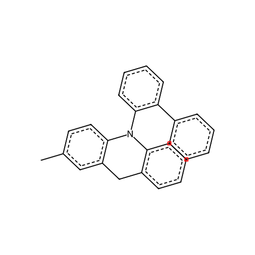 Cc1ccc2c(c1)Cc1ccccc1N2c1ccccc1-c1ccccc1